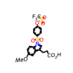 COc1ccc2c(c1)c(CCC(=O)O)cn2S(=O)(=O)c1ccc(OS(=O)(=O)C(F)(F)F)cc1